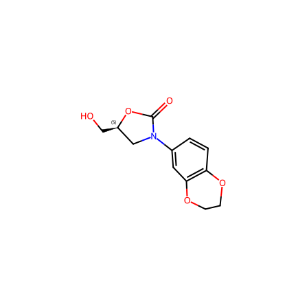 O=C1O[C@H](CO)CN1c1ccc2c(c1)OCCO2